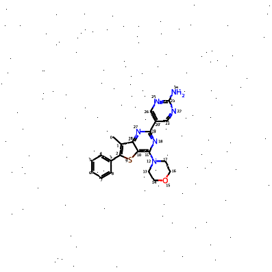 Cc1c(-c2cc[c]cc2)sc2c(N3CCOCC3)nc(-c3cnc(N)nc3)nc12